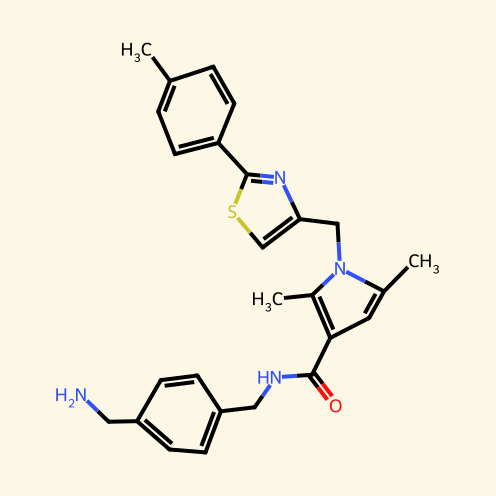 Cc1ccc(-c2nc(Cn3c(C)cc(C(=O)NCc4ccc(CN)cc4)c3C)cs2)cc1